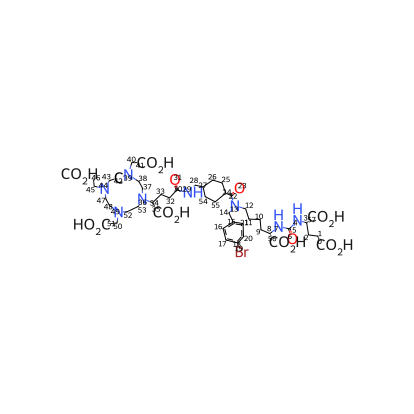 O=C(O)CC[C@H](NC(=O)N[C@@H](CCCCN(Cc1ccc(Br)cc1)C(=O)C1CCC(CNC(=O)CCC(C(=O)O)N2CCN(CC(=O)O)CCN(CC(=O)O)CCN(CC(=O)O)CC2)CC1)C(=O)O)C(=O)O